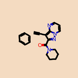 C#Cc1c(C(=O)N2CCCCC2)nn2cccnc12.c1ccccc1